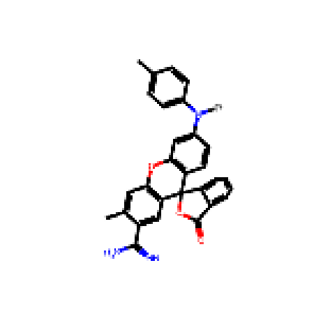 CCN(c1ccc(C)cc1)c1ccc2c(c1)Oc1cc(C)c(C(=N)N)cc1C21OC(=O)c2ccccc21